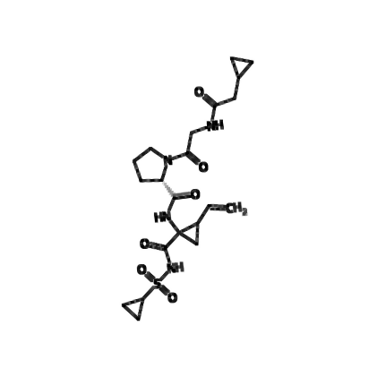 C=CC1CC1(NC(=O)[C@@H]1CCCN1C(=O)CNC(=O)CC1CC1)C(=O)NS(=O)(=O)C1CC1